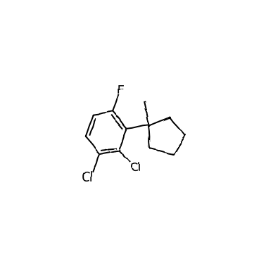 CC1(c2c(F)ccc(Cl)c2Cl)CCCC1